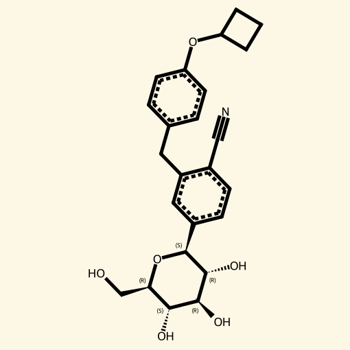 N#Cc1ccc([C@@H]2O[C@H](CO)[C@@H](O)[C@H](O)[C@H]2O)cc1Cc1ccc(OC2CCC2)cc1